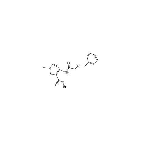 Cc1ccc(NC(=O)COCc2ccccc2)c(C(=O)OBr)c1